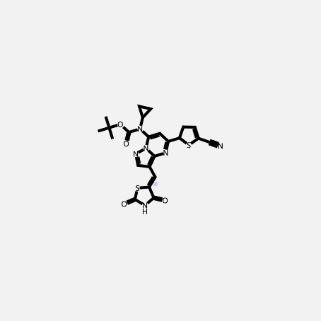 CC(C)(C)OC(=O)N(c1cc(C2CC=C(C#N)S2)nc2c(/C=C3\SC(=O)NC3=O)cnn12)C1CC1